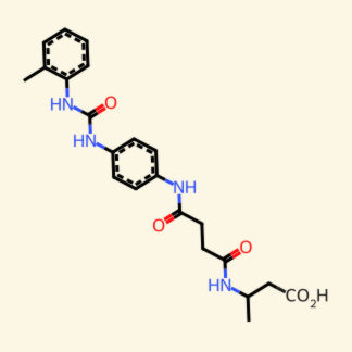 Cc1ccccc1NC(=O)Nc1ccc(NC(=O)CCC(=O)NC(C)CC(=O)O)cc1